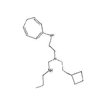 CCCNCN(CCNC1=CC=CCC=C1)CCC1CCC1